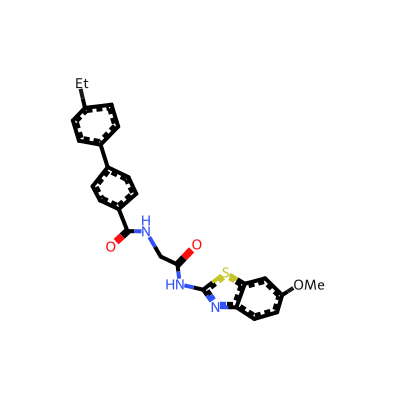 CCc1ccc(-c2ccc(C(=O)NCC(=O)Nc3nc4ccc(OC)cc4s3)cc2)cc1